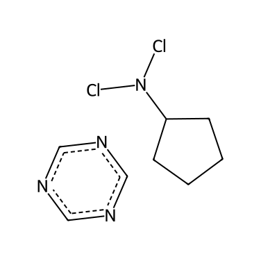 ClN(Cl)C1CCCC1.c1ncncn1